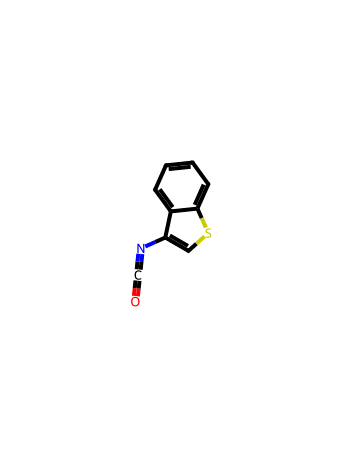 O=C=Nc1csc2ccccc12